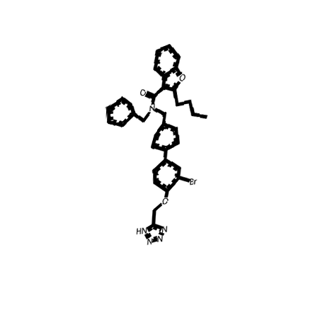 CCCCc1oc2ccccc2c1C(=O)N(Cc1ccccc1)Cc1ccc(-c2ccc(OCc3nnn[nH]3)c(Br)c2)cc1